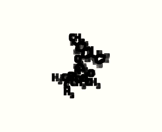 C=Cc1ccc2nc(-c3ccccc3)cc(O[C@@H]3C[C@@H](C(=O)OC)N(C(=O)OC(C)(C)C)C3)c2c1